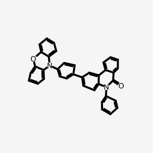 O=c1c2ccccc2c2cc(-c3ccc(N4c5ccccc5Oc5ccccc54)cc3)ccc2n1-c1ccccc1